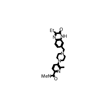 CCc1nc2ccc(CN3CCN(c4ccc(C(=O)NC)nc4C)CC3)cc2[nH]c1=O